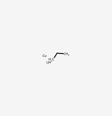 [CH2]CC.[Cu].[LiH]